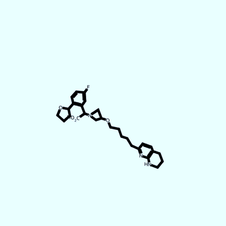 O=C(O)C(c1cc(F)ccc1C1CCCO1)N1CC(OCCCCCc2ccc3c(n2)NCCC3)C1